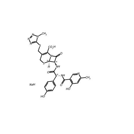 Cc1cc(O)c(C(=O)N[C@@H](C(=O)N[C@@H]2C(=O)N3C(C(=O)O)=C(CSc4nnnn4C)CS[C@H]23)c2ccc(O)cc2)cn1.[NaH]